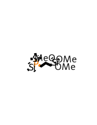 CO[Si](CCCP([Si](C)(C)C)[Si](C)(C)C)(OC)OC